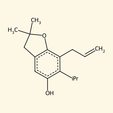 C=CCc1c2c(cc(O)c1C(C)C)CC(C)(C)O2